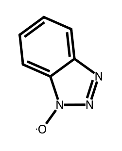 [O]n1nnc2ccccc21